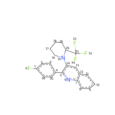 Fc1ccc(-c2nc3ccccc3cc2N2CCCCC2C(F)(F)F)cc1